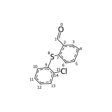 O=Cc1ccccc1Sc1ccccc1Cl